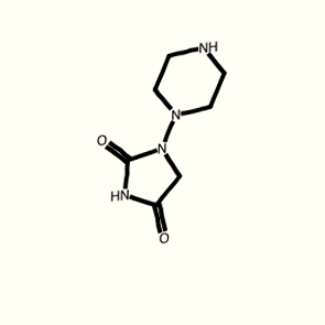 O=C1CN(N2CCNCC2)C(=O)N1